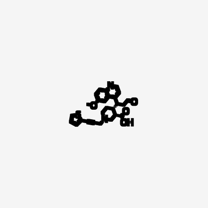 COc1ccc2nccc(C(CC=O)[C@H]3CCN(CC#Cc4cccs4)C[C@@H]3C(=O)O)c2c1